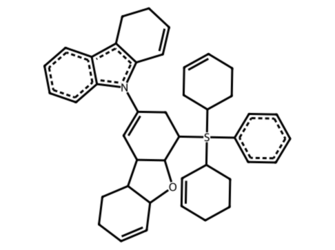 C1=CC(S(c2ccccc2)(C2CC=CCC2)C2CC(n3c4c(c5ccccc53)CCC=C4)=CC3C4CCC=CC4OC32)CCC1